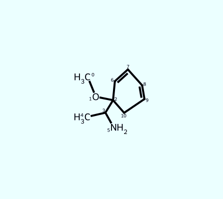 COC1(C(C)N)C=CC=CC1